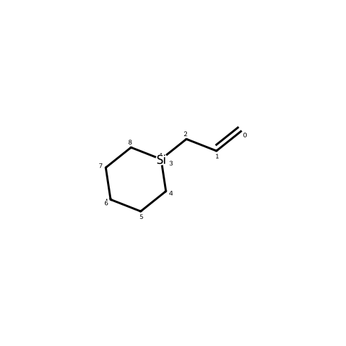 C=CC[Si]1CC[CH]CC1